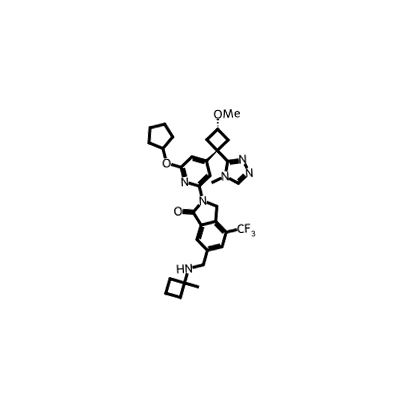 CO[C@H]1C[C@@](c2cc(OC3CCCC3)nc(N3Cc4c(cc(CNC5(C)CCC5)cc4C(F)(F)F)C3=O)c2)(c2nncn2C)C1